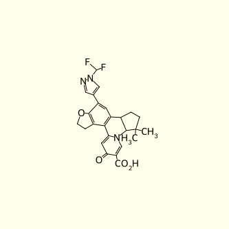 CC1(C)CCC2c3cc(-c4cnn(C(F)F)c4)c4c(c3-c3cc(=O)c(C(=O)O)cn3C21)CCO4